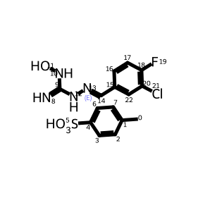 Cc1ccc(S(=O)(=O)O)cc1.N=C(NO)N/N=C/c1ccc(F)c(Cl)c1